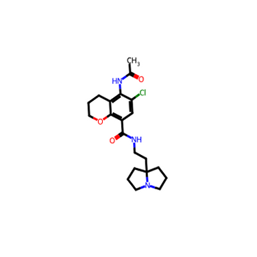 CC(=O)Nc1c(Cl)cc(C(=O)NCCC23CCCN2CCC3)c2c1CCCO2